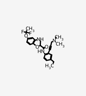 CCc1ccc(NC(=O)C2CNc3cc(OC(C)(F)F)ccc3O2)c(C#CCN(C)C)c1